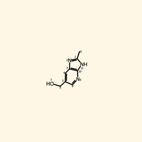 Cc1nc2cc(CO)cnc2[nH]1